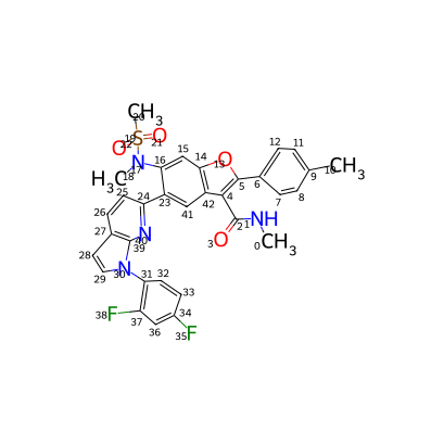 CNC(=O)c1c(-c2ccc(C)cc2)oc2cc(N(C)S(C)(=O)=O)c(-c3ccc4ccn(-c5ccc(F)cc5F)c4n3)cc12